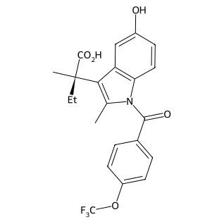 CC[C@@](C)(C(=O)O)c1c(C)n(C(=O)c2ccc(OC(F)(F)F)cc2)c2ccc(O)cc12